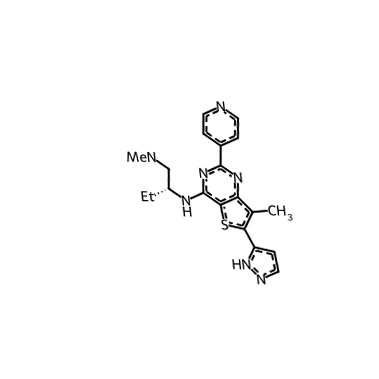 CC[C@H](CNC)Nc1nc(-c2ccncc2)nc2c(C)c(-c3ccn[nH]3)sc12